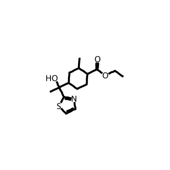 CCOC(=O)C1CCC(C(C)(O)c2nccs2)CC1C